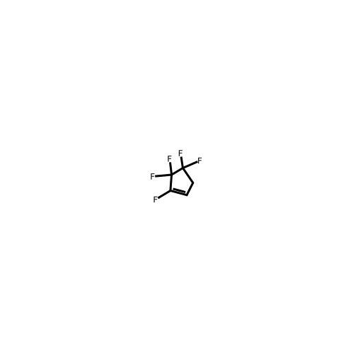 FC1=CCC(F)(F)C1(F)F